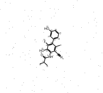 Cc1c(C#N)c(NC(=O)C(C)C)c(O)c(F)c1-c1cccc(O)c1